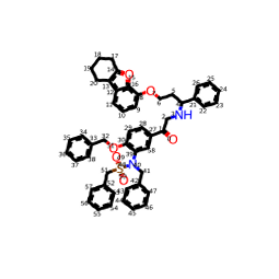 O=C(CNC(CCOc1cccc2c3c(oc12)CCCC3)c1ccccc1)c1ccc(OCc2ccccc2)c(N(Cc2ccccc2)S(=O)(=O)Cc2ccccc2)c1